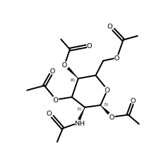 CC(=O)N[C@H]1C(OC(C)=O)[C@@H](OC(C)=O)C(COC(C)=O)O[C@H]1OC(C)=O